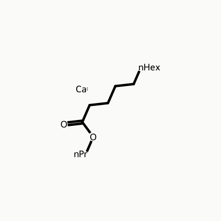 CCCCCCCCCCC(=O)OCCC.[Ca]